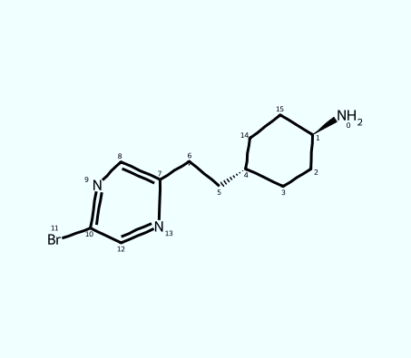 N[C@H]1CC[C@H](C[CH]c2cnc(Br)cn2)CC1